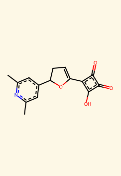 Cc1cc(C2CC=C(c3c(O)c(=O)c3=O)O2)cc(C)n1